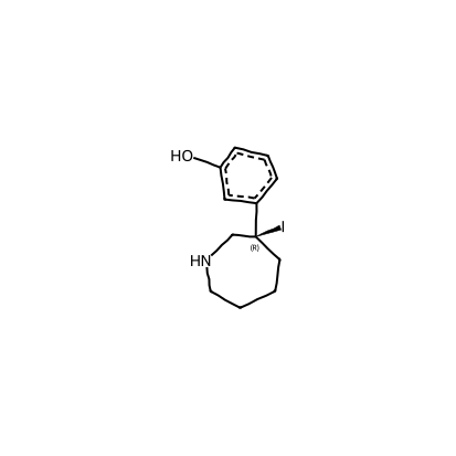 Oc1cccc([C@]2(I)CCCCNC2)c1